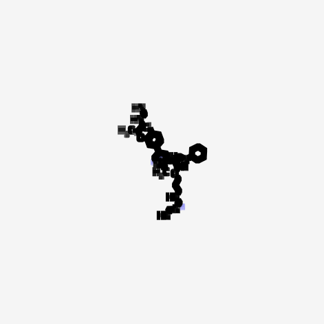 C=C(/N=C\C(=C/N)c1ccc(Cl)c(O[C@@H](C)CNC=N)c1)Nc1cn(C2CCCCC2)nc1OCCCN/C=N\C=N